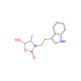 CC1C(O)OC(=O)N1CCc1c[nH]c2ccccc12